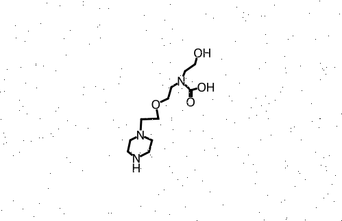 O=C(O)N(CCO)CCOCCN1CCNCC1